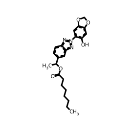 CCCCCCCC(=O)OC(C)c1ccc2nn(-c3cc4c(cc3O)OCO4)nc2c1